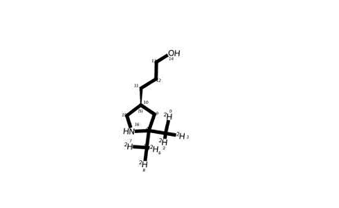 [2H]C([2H])([2H])C1(C([2H])([2H])[2H])C[C@H](CCCO)CN1